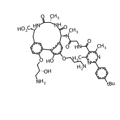 Cc1nc(-c2ccc(C(C)(C)C)cc2)nc(C)c1C(=O)NCC(=O)N(C)[C@@H]1C(=O)N[C@@H](C)C(=O)N[C@H](C(=O)O)Cc2ccc(OC[C@H](O)CN)c(c2)-c2cc1cc(OCCCN)c2O